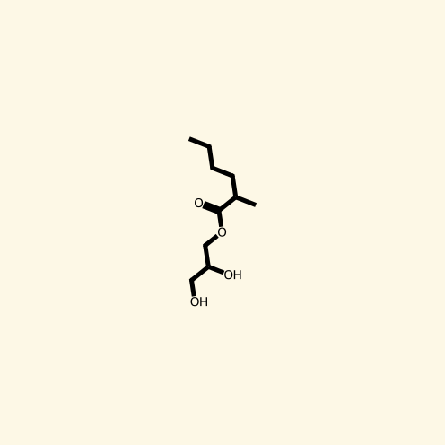 CCCCC(C)C(=O)OCC(O)CO